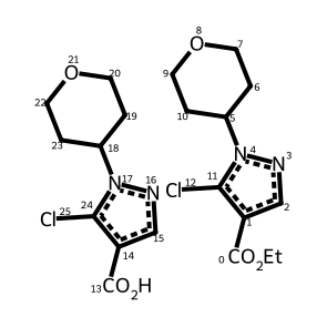 CCOC(=O)c1cnn(C2CCOCC2)c1Cl.O=C(O)c1cnn(C2CCOCC2)c1Cl